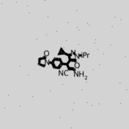 CC(C)n1nc(C2CC2)c2c1OC(N)=C(C#N)C2c1ccc(N2CCCC2=O)cc1